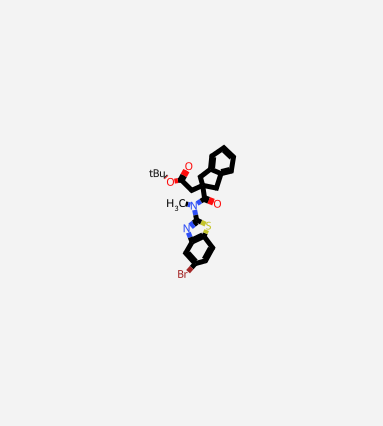 CN(C(=O)C1(CC(=O)OC(C)(C)C)Cc2ccccc2C1)c1nc2cc(Br)ccc2s1